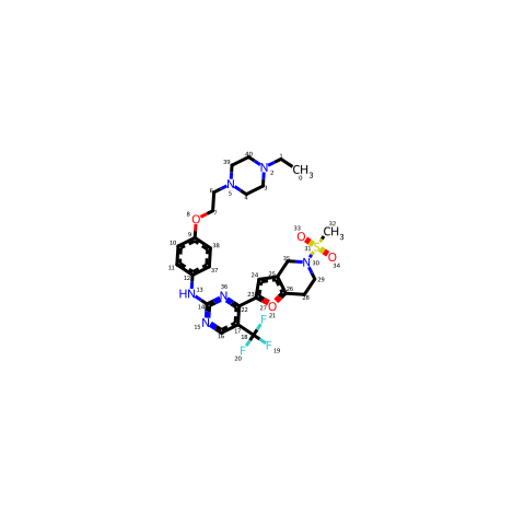 CCN1CCN(CCOc2ccc(Nc3ncc(C(F)(F)F)c(-c4cc5c(o4)CCN(S(C)(=O)=O)C5)n3)cc2)CC1